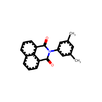 Cc1cc(C)cc(N2C(=O)c3cccc4cccc(c34)C2=O)c1